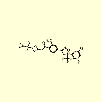 Cc1cc(C2=NO[C@@](c3cc(Cl)cc(Cl)c3)(C(F)(F)F)C2)ccc1C(=O)CC1CN(S(=O)(=O)C2CC2)C1